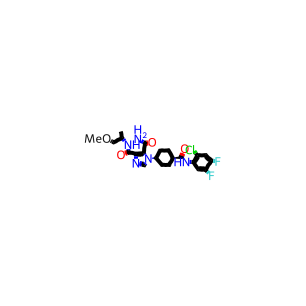 COCC(C)NC(=O)c1ncn([C@H]2CC[C@H](C(=O)Nc3cc(F)c(F)cc3Cl)CC2)c1C(N)=O